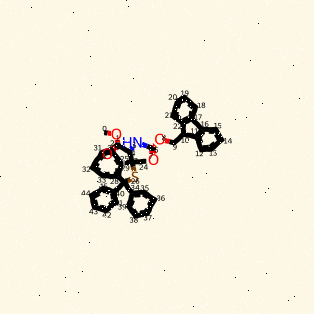 COC(=O)C(NC(=O)OCC1c2ccccc2-c2ccccc21)C(C)(C)SC(c1ccccc1)(c1ccccc1)c1ccccc1